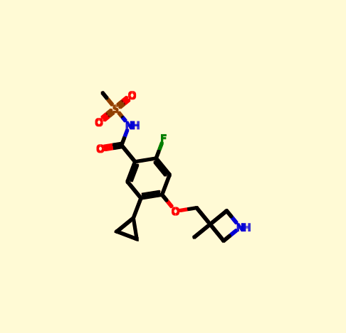 CC1(COc2cc(F)c(C(=O)NS(C)(=O)=O)cc2C2CC2)CNC1